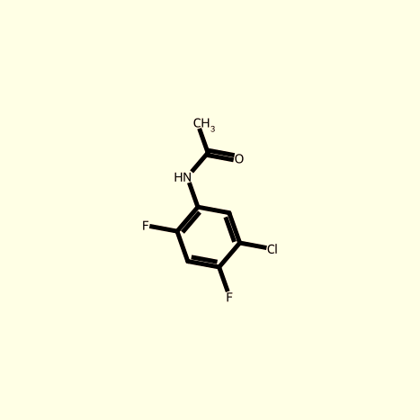 CC(=O)Nc1cc(Cl)c(F)cc1F